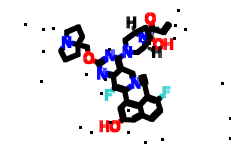 C#Cc1c(F)ccc2cc(O)cc(-c3ncc4c(N5C[C@H]6C[C@@](C)(O)[C@@H](C5)N6C(=O)C=C)nc(OCC56CCCN5CCC6)nc4c3F)c12